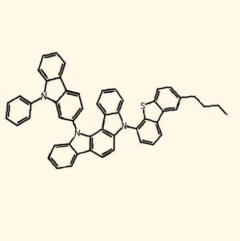 CCCCc1ccc2sc3c(-n4c5ccccc5c5c4ccc4c6ccccc6n(-c6ccc7c8ccccc8n(-c8ccccc8)c7c6)c45)cccc3c2c1